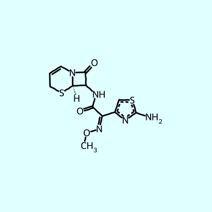 CO/N=C(\C(=O)NC1C(=O)N2C=CCS[C@H]12)c1csc(N)n1